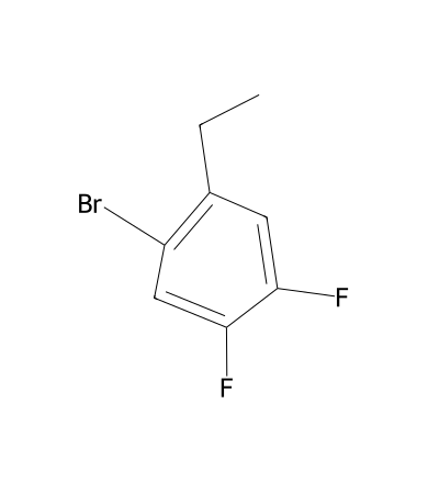 CCc1cc(F)c(F)cc1Br